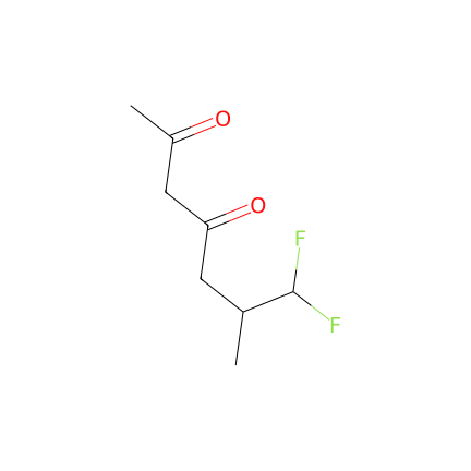 CC(=O)CC(=O)CC(C)C(F)F